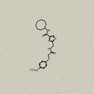 O=C(COc1ccc(OC(F)(F)F)cc1)NCc1nc(C(=O)NC2CCCCCCC2)co1